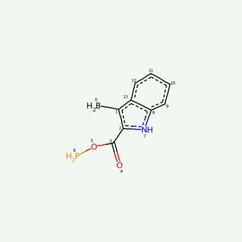 Bc1c(C(=O)OP)[nH]c2ccccc12